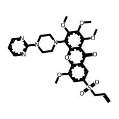 C=CCS(=O)(=O)c1cc(OC)c2oc3c(N4CCN(c5ncccn5)CC4)c(OC)c(OC)c(OC)c3c(=O)c2c1